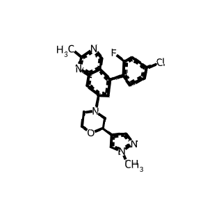 Cc1ncc2c(-c3ccc(Cl)cc3F)cc(N3CCOC(c4cnn(C)c4)C3)cc2n1